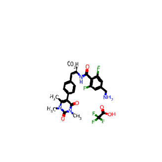 Cc1c(-c2ccc(C[C@H](NC(=O)c3c(F)cc(CN)cc3F)C(=O)O)cc2)c(=O)n(C)c(=O)n1C.O=C(O)C(F)(F)F